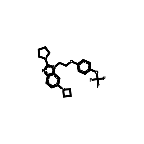 FC(F)(F)Oc1ccc(OCCn2c(N3CCCC3)nc3ccc(N4CCC4)cc32)cc1